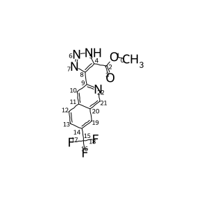 COC(=O)c1[nH]nnc1-c1cc2ccc(C(F)(F)F)cc2cn1